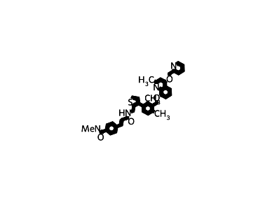 CNC(=O)c1ccc(C=CC(=O)NCc2sccc2-c2ccc(C)c(COc3cccc4c(OCc5ccccn5)cc(C)nc34)c2C)cc1